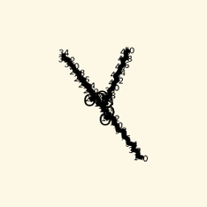 CCCCCCCC=CCCCCC(=O)OCC(COC(=O)CCCCC=CCCCCCCC)OC(=O)CCCCC=CCCCCCCC